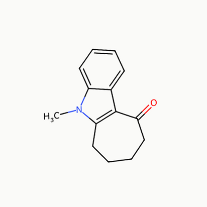 Cn1c2c(c3ccccc31)C(=O)CCCC2